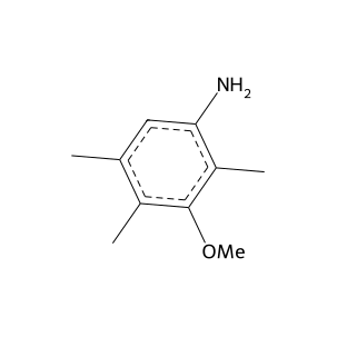 COc1c(C)c(C)cc(N)c1C